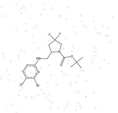 CC(C)(C)OC(=O)N1CC(F)(F)CC1CNc1ccc(Cl)c(Br)n1